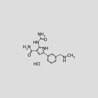 CNCc1cccc(-c2cc(C(N)=O)c(NC(N)=O)[nH]2)c1.Cl